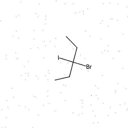 CCC(Br)(I)CC